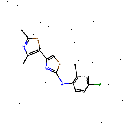 Cc1nc(C)c(-c2csc(Nc3ccc(F)cc3C)n2)s1